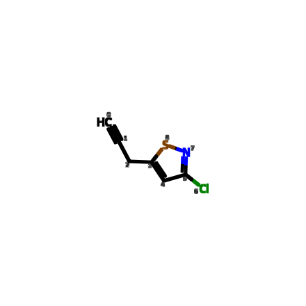 C#CCc1cc(Cl)ns1